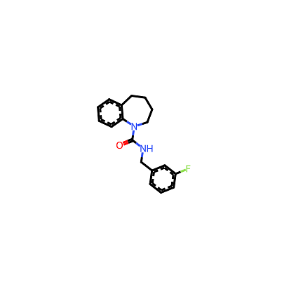 O=C(NCc1cccc(F)c1)N1CCCCc2ccccc21